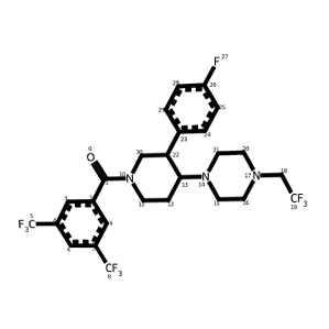 O=C(c1cc(C(F)(F)F)cc(C(F)(F)F)c1)N1CCC(N2CCN(CC(F)(F)F)CC2)C(c2ccc(F)cc2)C1